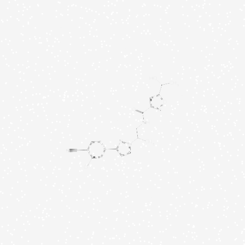 CC(O)c1cc(C(=O)NCC(C)n2ccc(-c3ccc(C#N)c(Cl)c3)n2)no1